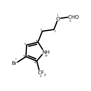 O=COCCc1cc(Br)c(C(F)(F)F)[nH]1